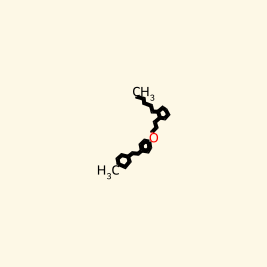 CCCCCCC1CCCCC1CCCOc1ccc(CCC2CCC(C)CC2)cc1